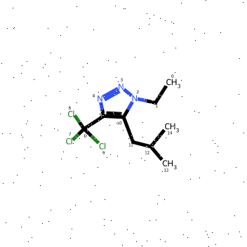 CCn1nnc(C(Cl)(Cl)Cl)c1CC(C)C